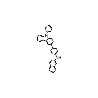 c1ccc(-n2c3ccccc3c3cc(-c4ccc(Nc5ccc6ccccc6c5)cc4)ccc32)cc1